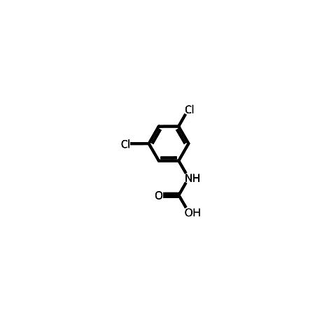 O=C(O)Nc1cc(Cl)cc(Cl)c1